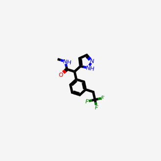 CNC(=O)C(c1cccc(CC(F)(F)F)c1)c1ccn[nH]1